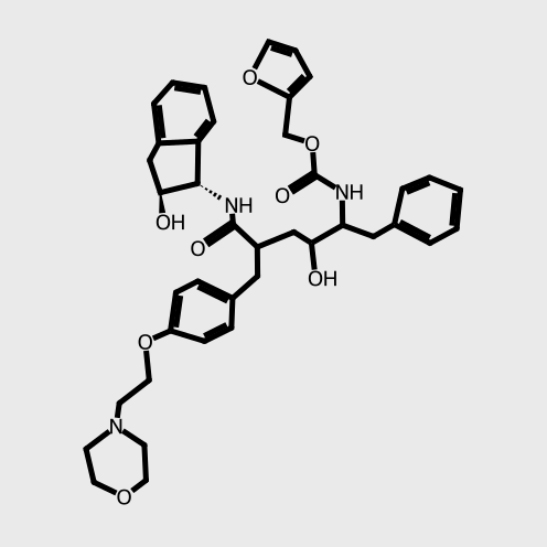 O=C(NC(Cc1ccccc1)C(O)CC(Cc1ccc(OCCN2CCOCC2)cc1)C(=O)N[C@H]1c2ccccc2C[C@@H]1O)OCc1ccco1